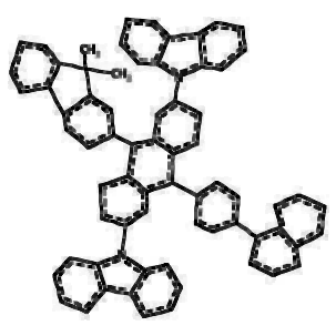 CC1(C)c2ccccc2-c2ccc(-c3c4ccc(-n5c6ccccc6c6ccccc65)cc4c(-c4ccc(-c5cccc6ccccc56)cc4)c4ccc(-n5c6ccccc6c6ccccc65)cc34)cc21